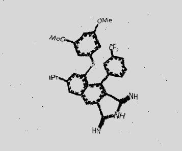 COc1cc(OC)cc(Sc2cc(C(C)C)cc3cc4c(c(-c5cccc(C(F)(F)F)c5)c23)C(=N)NC4=N)c1